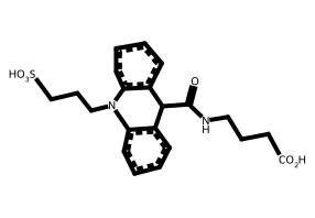 O=C(O)CCCNC(=O)C1c2ccccc2N(CCCS(=O)(=O)O)c2ccccc21